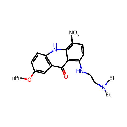 CCCOc1ccc2[nH]c3c([N+](=O)[O-])ccc(NCCN(CC)CC)c3c(=O)c2c1